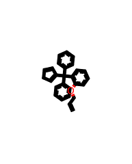 C=CCOc1ccccc1C(C1=CCC=C1)(c1ccccc1)c1ccccc1